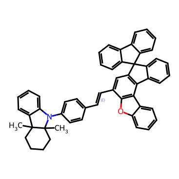 CC12CCCCC1(C)N(c1ccc(/C=C/c3cc4c(c5c3oc3ccccc35)-c3ccccc3C43c4ccccc4-c4ccccc43)cc1)c1ccccc12